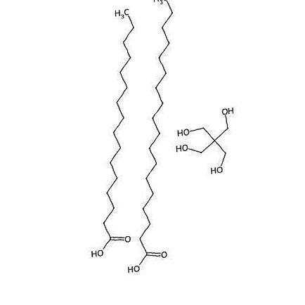 CCCCCCCCCCCCCCCC(=O)O.CCCCCCCCCCCCCCCCCC(=O)O.OCC(CO)(CO)CO